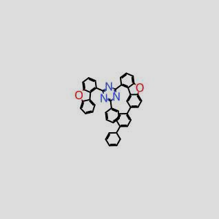 C1=CCC(c2ccc(-c3ccc4oc5cccc(-c6nc(-c7ccccc7)nc(-c7cccc8oc9ccccc9c78)n6)c5c4c3)cc2)C=C1